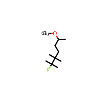 CC(CCC(C)(C)C(C)(C)F)OC(C)(C)C